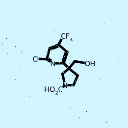 O=C(O)N1CCC(CO)(c2cc(C(F)(F)F)cc(Cl)n2)C1